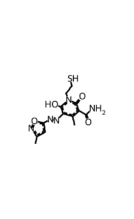 Cc1cc(/N=N/c2c(C)c(C(N)=O)c(=O)n(CCS)c2O)on1